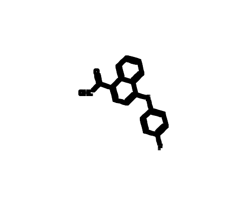 O=CC(=O)c1ccc(Sc2ccc(F)cc2)c2ccccc12